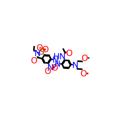 CCN1C(=O)c2cc([N+](=O)[O-])c(/N=N/c3ccc(N(CCOC)CCOC)cc3NC(C)=O)cc2S1(=O)=O